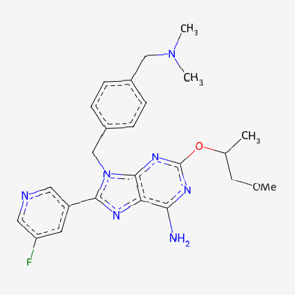 COCC(C)Oc1nc(N)c2nc(-c3cncc(F)c3)n(Cc3ccc(CN(C)C)cc3)c2n1